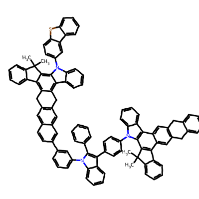 CC1(C)c2ccccc2-c2c3c(c4c5ccccc5n(-c5ccc6sc7ccccc7c6c5)c4c21)Cc1cc2cc(-c4cccc(-n5c(-c6ccccc6)c(-c6ccc(-n7c8ccccc8c8c9cc%10c(cc9c9c(c87)C(C)(C)c7ccccc7-9)Cc7ccccc7C%10)cc6)c6ccccc65)c4)ccc2cc1C3